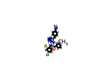 Cc1cccc(C(=O)N(Cc2ccc(F)cc2F)Cc2nncn2Cc2ccc(C#N)cc2)c1